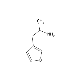 CC(N)Cc1ccoc1